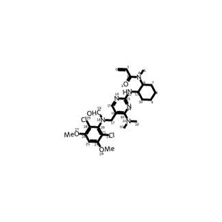 C=CC(=O)N(C)C1CCCCC1Nc1ncc(CN(C=O)c2c(Cl)c(OC)cc(OC)c2Cl)c(N(C)C)n1